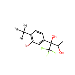 [2H]C([2H])([2H])c1ccc(C(O)(C(C)O)C(F)(F)F)cc1Br